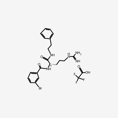 N=C(N)NCCC[C@H](NC(=O)c1cccc(Br)c1)C(=O)NCCc1ccccc1.O=C(O)C(F)(F)F